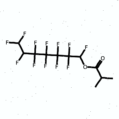 CC(C)C(=O)OC(F)C(F)(F)C(F)(F)C(F)(F)C(F)(F)C(F)C(F)F